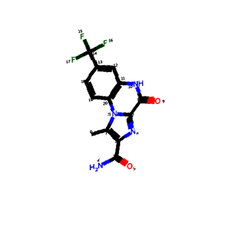 Cc1c(C(N)=O)nc2c(=O)[nH]c3cc(C(F)(F)F)ccc3n12